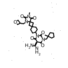 CN1C(=O)N(CC2COC2)C2(CC3(CCC(N4C(=O)C(=C(N)N)C(=O)N(CC5(C)CCCC5)C4=O)CC3)C2)C1=O